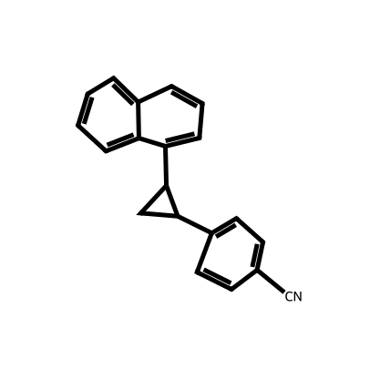 N#Cc1ccc(C2CC2c2cccc3ccccc23)cc1